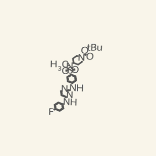 CN(C1CCN(C(=O)OC(C)(C)C)CC1)S(=O)(=O)c1ccc(Nc2nccc(Nc3ccc(F)cc3)n2)cc1